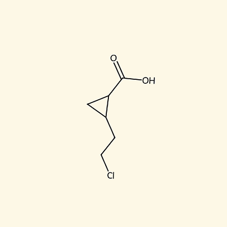 O=C(O)C1CC1CCCl